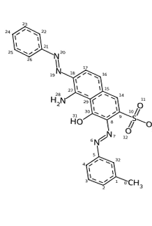 Cc1cccc(N=Nc2c(S(=O)(=O)O)cc3ccc(N=Nc4ccccc4)c(N)c3c2O)c1